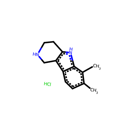 Cc1ccc2c3c([nH]c2c1C)CCNC3.Cl